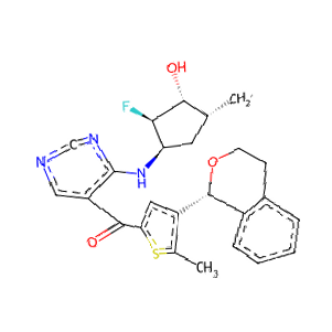 [CH2][C@@H]1C[C@@H](Nc2ncncc2C(=O)c2cc([C@@H]3OCCc4ccccc43)c(C)s2)[C@@H](F)[C@@H]1O